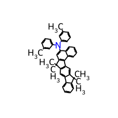 Cc1cccc(N(c2cccc(C)c2)c2cc3c(c4ccccc24)-c2cc4c(cc2C3(C)C)-c2ccccc2C4(C)C)c1